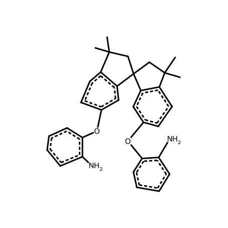 CC1(C)CC2(CC(C)(C)c3ccc(Oc4ccccc4N)cc32)c2cc(Oc3ccccc3N)ccc21